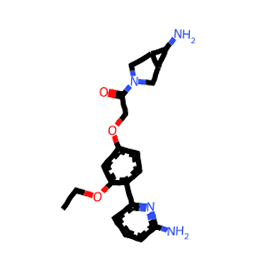 CCOc1cc(OCC(=O)N2CC3C(N)C3C2)ccc1-c1cccc(N)n1